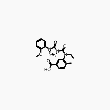 CCN(C(=O)n1nnn(-c2ccccc2OC)c1=O)c1cc(C(=O)O)ccc1C